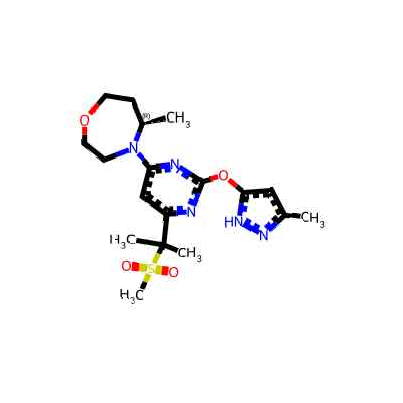 Cc1cc(Oc2nc(N3CCOCC[C@H]3C)cc(C(C)(C)S(C)(=O)=O)n2)[nH]n1